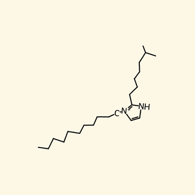 CCCCCCCCCCC[n+]1cc[nH]c1CCCCCC(C)C